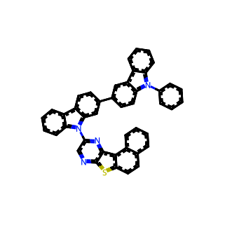 c1ccc(-n2c3ccccc3c3cc(-c4ccc5c6ccccc6n(-c6cnc7sc8ccc9ccccc9c8c7n6)c5c4)ccc32)cc1